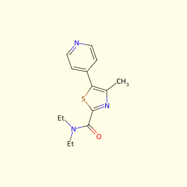 CCN(CC)C(=O)c1nc(C)c(-c2ccncc2)s1